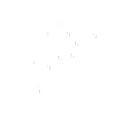 CSc1c(F)c(F)c(N2CCN(c3nc(=O)n(-c4c(C)ccnc4C(C)C)c4nc(Cl)c(F)cc34)[C@@H](C)C2)c(F)c1F